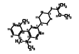 C=C(CC1CCC(c2cc(-c3ccccc3C)c(N(C)C)cn2)CC1)OC